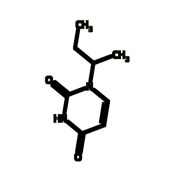 CCC(C)n1ccc(=O)[nH]c1=O